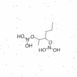 CCCC(ON(O)O)C(C)ON(O)O